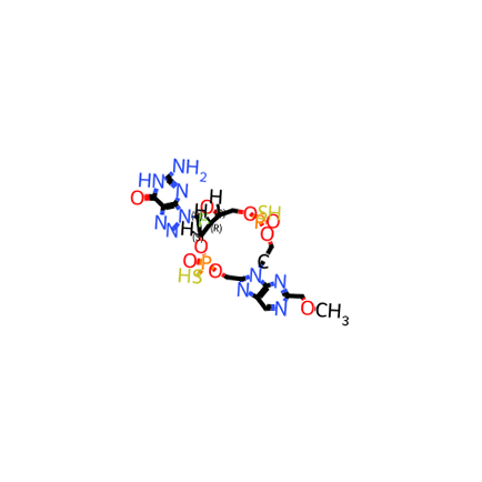 COCc1ncc2nc3n(c2n1)CCOP(=O)(S)OC[C@H]1O[C@@H](n2nnc4c(=O)[nH]c(N)nc42)[C@H](OP(=O)(S)OC3)[C@@H]1F